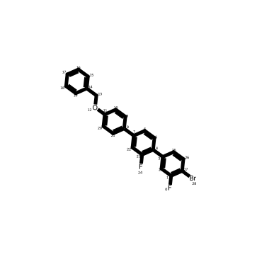 Fc1cc(-c2ccc(-c3ccc(OCc4ccccc4)cc3)cc2F)ccc1Br